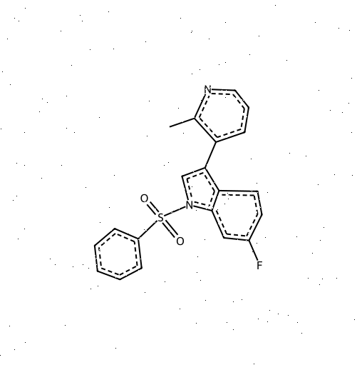 Cc1ncccc1-c1cn(S(=O)(=O)c2ccccc2)c2cc(F)ccc12